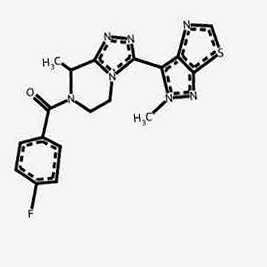 CC1c2nnc(-c3c4ncsc4nn3C)n2CCN1C(=O)c1ccc(F)cc1